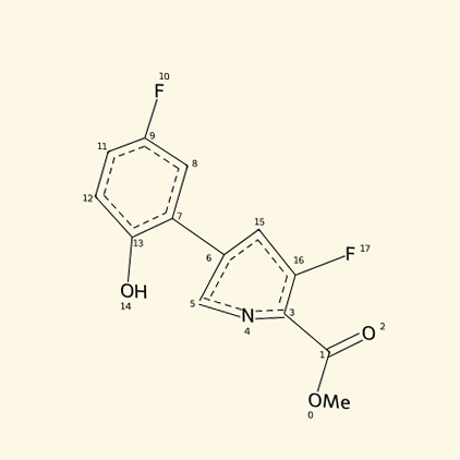 COC(=O)c1ncc(-c2cc(F)ccc2O)cc1F